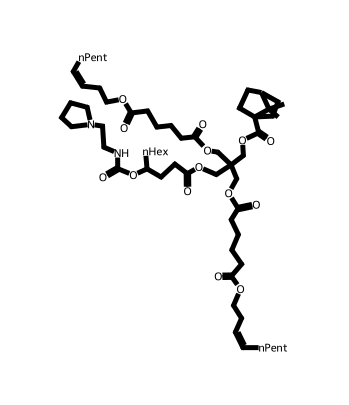 CCCCC/C=C\CCOC(=O)CCCCC(=O)OCC(COC(=O)CCCCC(=O)OCC/C=C\CCCCC)(COC(=O)CCC(CCCCCC)OC(=O)NCCN1CCCC1)COC(=O)C12CCC(CC1)C2(C)C